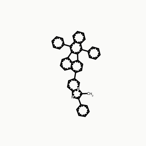 Cc1c(-c2ccccc2)nc2ccc(-c3ccc4c5c(cccc35)-c3c-4c(-c4ccccc4)c4ccccc4c3-c3ccccc3)cn12